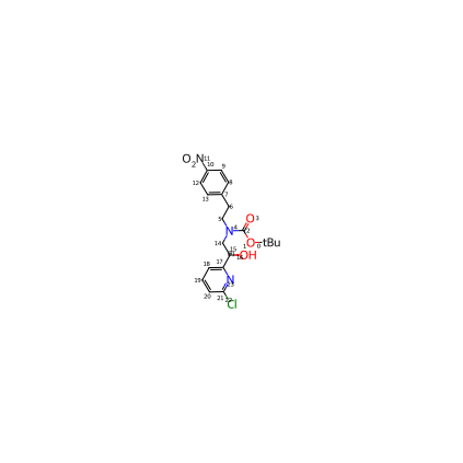 CC(C)(C)OC(=O)N(CCc1ccc([N+](=O)[O-])cc1)C[C@@H](O)c1cccc(Cl)n1